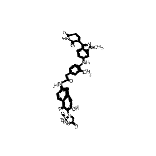 Cc1cc(CC(=O)Nc2ccc3c(F)c(N4CC(=O)NS4(=O)=O)c(O)cc3c2)ccc1Nc1ccc2c(C3CCC(=O)NC3=O)nn(C)c2c1